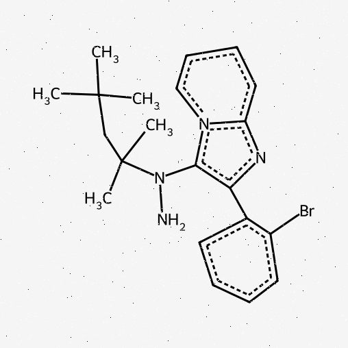 CC(C)(C)CC(C)(C)N(N)c1c(-c2ccccc2Br)nc2ccccn12